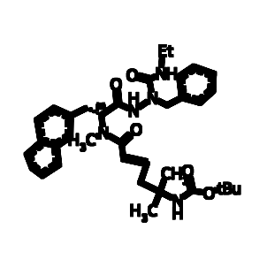 CCNC(=O)N(Cc1ccccc1)NC(=O)[C@@H](Cc1ccc2ccccc2c1)N(C)C(=O)C=CCC(C)(C)NC(=O)OC(C)(C)C